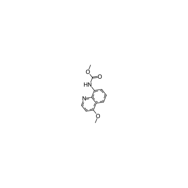 COC(=O)Nc1cccc2c(OC)ccnc12